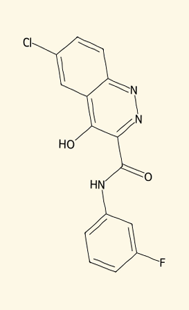 O=C(Nc1cccc(F)c1)c1nnc2ccc(Cl)cc2c1O